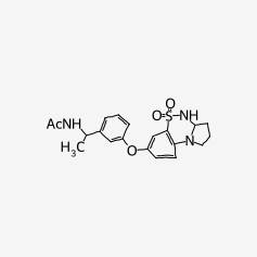 CC(=O)NC(C)c1cccc(Oc2ccc3c(c2)S(=O)(=O)NC2CCCN32)c1